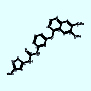 COc1cc2ncnc(Oc3cccc(NC(=O)Nc4cc(C(C)(C)C)no4)c3)c2cc1OC